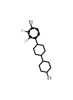 CCc1ccc(C2CCC(C3CCC(CC)CC3)CC2)c(F)c1F